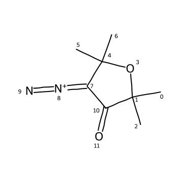 CC1(C)OC(C)(C)C(=[N+]=[N-])C1=O